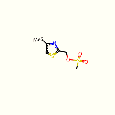 CSc1csc(COS(C)(=O)=O)n1